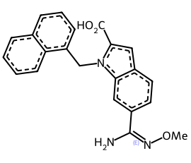 CO/N=C(/N)c1ccc2cc(C(=O)O)n(Cc3cccc4ccccc34)c2c1